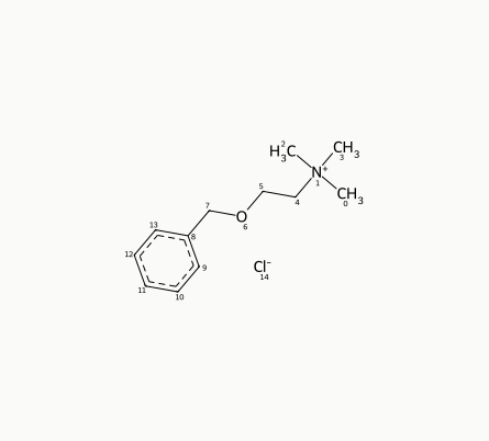 C[N+](C)(C)CCOCc1ccccc1.[Cl-]